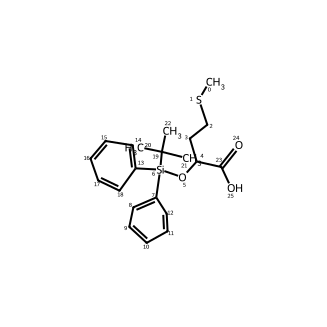 CSCCC(O[Si](c1ccccc1)(c1ccccc1)C(C)(C)C)C(=O)O